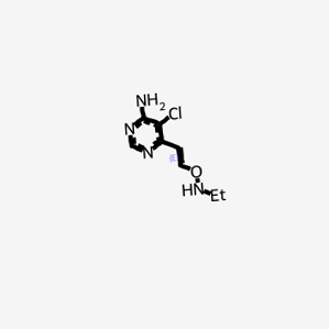 CCNO/C=C/c1ncnc(N)c1Cl